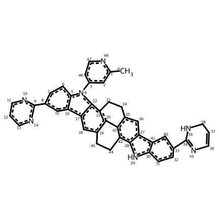 Cc1cc(-n2c3ccc(-c4ncccn4)cc3c3cc4c5c(c32)CCc2cc3c([nH]c6ccc(C7=NC=CCN7)cc63)c(c2-5)CC4)ccn1